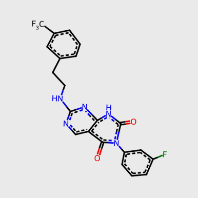 O=c1[nH]c2nc(NCCc3cccc(C(F)(F)F)c3)ncc2c(=O)n1-c1cccc(F)c1